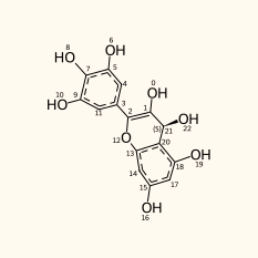 OC1=C(c2cc(O)c(O)c(O)c2)Oc2cc(O)cc(O)c2[C@@H]1O